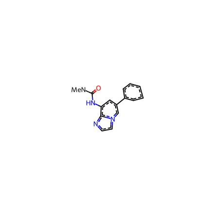 CNC(=O)Nc1cc(-c2ccccc2)cn2ccnc12